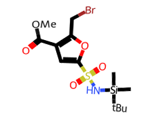 COC(=O)c1cc(S(=O)(=O)N[Si](C)(C)C(C)(C)C)oc1CBr